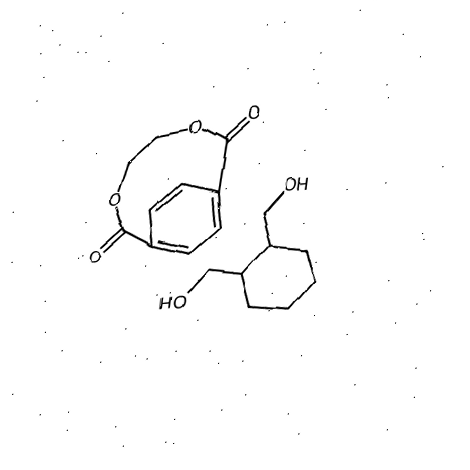 O=C1OCCOC(=O)c2ccc1cc2.OCC1CCCCC1CO